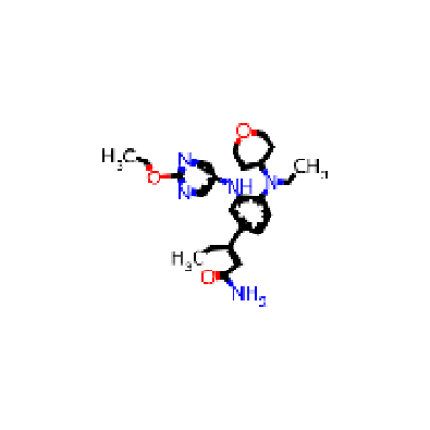 CCOc1ncc(Nc2cc(/C(=C/C(N)=O)CC)ccc2N(CC)C2CCOCC2)cn1